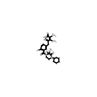 Cc1c(Cc2ccc(F)c(C(=O)N3CCN(C4CCCCC4)C(=O)C3(C)C)c2)n[nH]c(=O)c1C